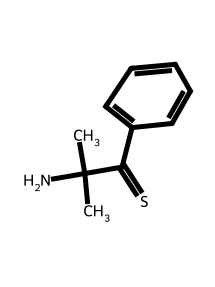 CC(C)(N)C(=S)c1ccccc1